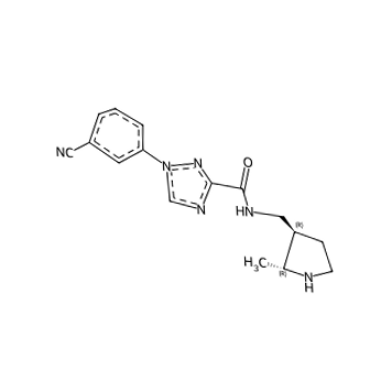 C[C@H]1NCC[C@@H]1CNC(=O)c1ncn(-c2cccc(C#N)c2)n1